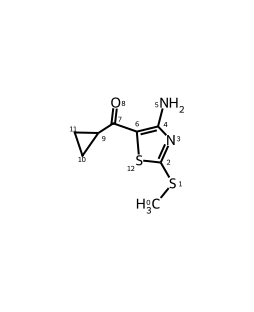 CSc1nc(N)c(C(=O)C2CC2)s1